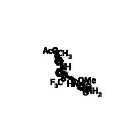 COc1cc(S(N)(=O)=O)ccc1NCC#Cc1cc2c(NC3CCN(CC(C)OC(C)=O)CC3)cccc2n1CC(F)(F)F